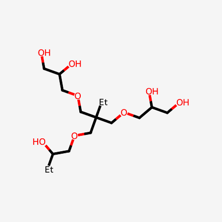 CCC(O)COCC(CC)(COCC(O)CO)COCC(O)CO